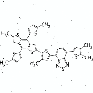 Cc1ccc(-c2c3cc(-c4sc(-c5ccc(-c6cc(C)c(C)s6)c6nsnc56)cc4C)sc3c(-c3ccc(C)s3)c3cc(C)sc23)s1